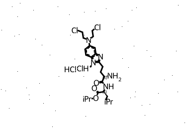 CC(C)C[C@H](NC(=O)[C@@H](N)CCc1nc2cc(N(CCCl)CCCl)ccc2n1C)C(=O)OC(C)C.Cl.Cl